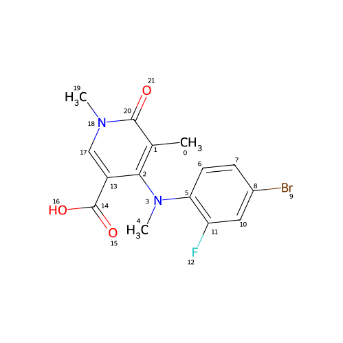 Cc1c(N(C)c2ccc(Br)cc2F)c(C(=O)O)cn(C)c1=O